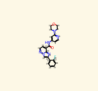 O=C(Nc1ccnc(N2CCOCC2)c1)c1ccnn2cc(-c3ccccc3F)nc12